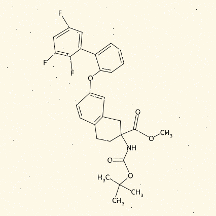 COC(=O)C1(NC(=O)OC(C)(C)C)CCc2ccc(Oc3ccccc3-c3cc(F)cc(F)c3F)cc2C1